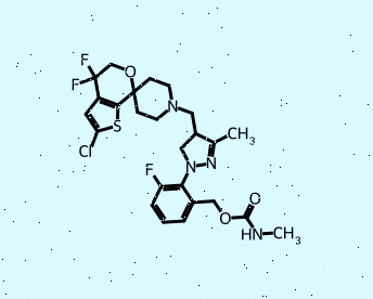 CNC(=O)OCc1cccc(F)c1N1CC(CN2CCC3(CC2)OCC(F)(F)c2cc(Cl)sc23)C(C)=N1